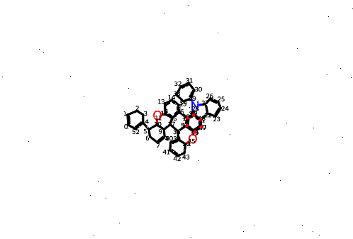 C1=CCCC(C2CC=CC3C2Oc2cccc(C4=CC=CC5C6C=CC=CC6N(C6=CC=CCC6)C45)c2C3C2C3=CC=CCC3Oc3ccccc32)=C1